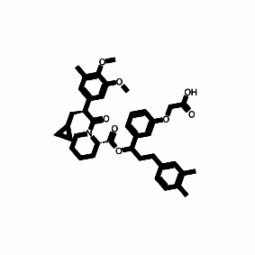 COc1cc([C@H](CC2CC2)C(=O)N2CCCC[C@H]2C(=O)OC(CCc2ccc(C)c(C)c2)c2cccc(OCC(=O)O)c2)cc(C)c1OC